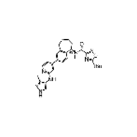 Cc1n[nH]cc1Nc1cc(-c2ccc3c(c2)CCCC[C@H]3NC(=O)c2noc(C(C)(C)C)n2)ccn1